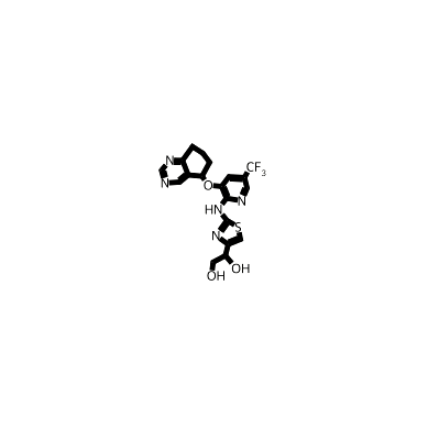 OCC(O)c1csc(Nc2ncc(C(F)(F)F)cc2OC2CCCc3ncncc32)n1